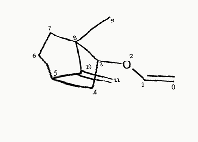 C=COC1CC2CCC1(C)C2=C